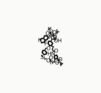 CN(Cc1cc(NC(=O)CCc2cc(C(C(=O)O)N(c3ccc4cncc(F)c4c3)N(C(=O)OC(C)(C)C)C(=O)OC(C)(C)C)ccc2OCc2ccccc2)ccc1S(=O)(=O)C1CC1)C(=O)OCC[Si](C)(C)C